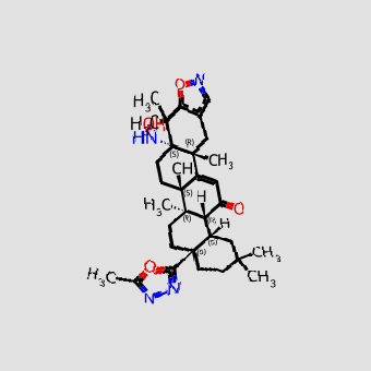 Cc1nnc([C@]23CCC(C)(C)C[C@H]2[C@H]2C(=O)C=C4[C@@](C)(CC[C@@]5(NO)C(C)(C)c6oncc6C[C@]45C)[C@]2(C)CC3)o1